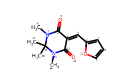 CN1C(=O)C(=Cc2ccco2)C(=O)N(C)C1(C)C